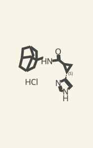 Cl.O=C(NCC12CC3CC(CC(C3)C1)C2)C1C[C@@H]1c1c[nH]cn1